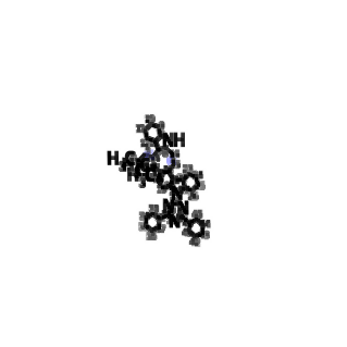 CC(C)/C=C1/c2c([nH]c3ccccc23)/C=C\c2c(ccc3c2c2ccccc2n3-c2nc(-c3ccccc3)nc(-c3ccccc3)n2)C1(C)C